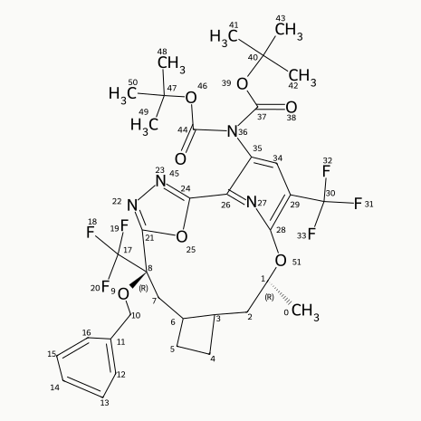 C[C@@H]1CC2CCC2C[C@](OCc2ccccc2)(C(F)(F)F)c2nnc(o2)-c2nc(c(C(F)(F)F)cc2N(C(=O)OC(C)(C)C)C(=O)OC(C)(C)C)O1